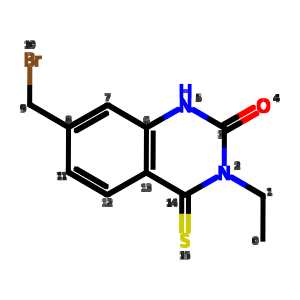 CCn1c(=O)[nH]c2cc(CBr)ccc2c1=S